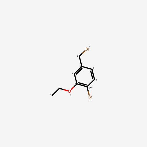 CCOc1cc(CBr)ccc1Br